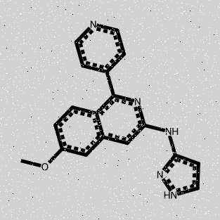 COc1ccc2c(-c3ccncc3)nc(Nc3cc[nH]n3)cc2c1